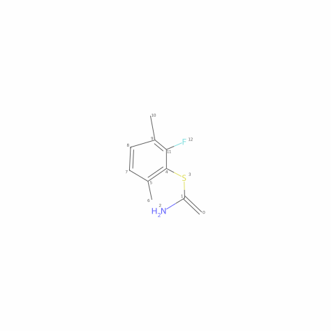 C=C(N)Sc1c(C)ccc(C)c1F